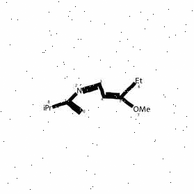 C=C(/N=C\C=C(/CC)OC)C(C)C